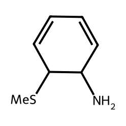 CSC1C=CC=CC1N